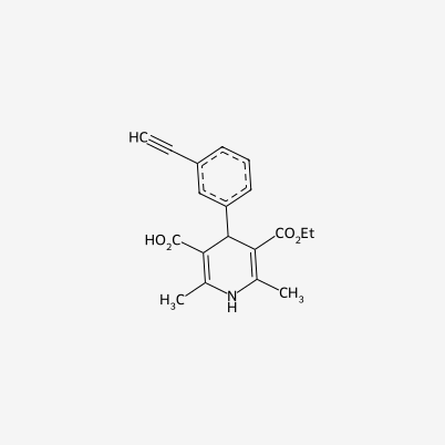 C#Cc1cccc(C2C(C(=O)O)=C(C)NC(C)=C2C(=O)OCC)c1